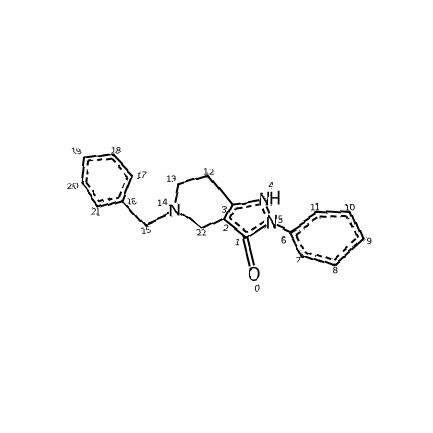 O=c1c2c([nH]n1-c1ccccc1)CCN(Cc1ccccc1)C2